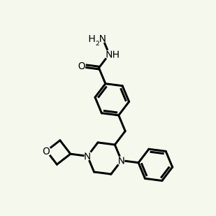 NNC(=O)c1ccc(CC2CN(C3COC3)CCN2c2ccccc2)cc1